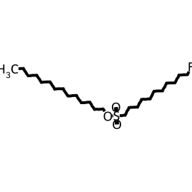 CCCCCCCCCCCCCCOS(=O)(=O)CCCCCCCCCCCF